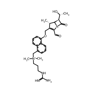 C[C@H]1C(COc2cccc3c(C[N+](C)(C)CCCNC(=N)N)cccc23)=C(C=O)N2C(=O)[C@H]([C@@H](C)O)C12